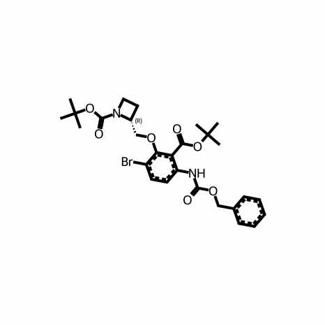 CC(C)(C)OC(=O)c1c(NC(=O)OCc2ccccc2)ccc(Br)c1OC[C@H]1CCN1C(=O)OC(C)(C)C